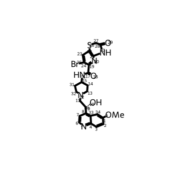 COc1ccc2nccc([C@@H](O)CN3CCC(NC(=O)c4nc5c(cc4Br)SCC(=O)N5)CC3)c2c1